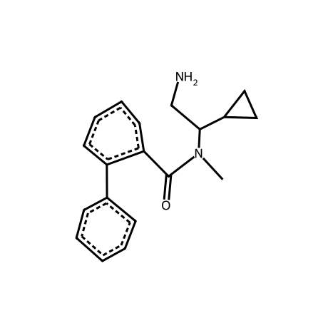 CN(C(=O)c1ccccc1-c1ccccc1)C(CN)C1CC1